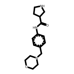 O=C(Nc1[c]cc(CN2CCOCC2)cc1)C1CCNC1